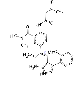 C=C/C(=C\c1c(-c2ccccc2OC)c[nH]c1N)c1ccc(NC(=O)CN(C)C(C)C)c(C(=O)N(C)C)c1